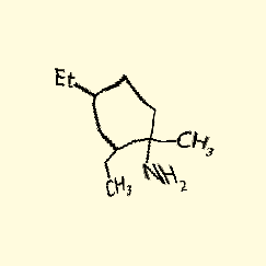 CCC1CCC(C)(N)C(C)C1